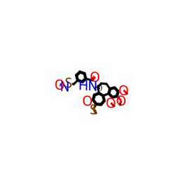 COc1cc2c(c(OC)c1OC)-c1ccc(SC)c(=O)cc1[C@@H](NC(=O)c1cccc(CSN=O)c1)CC2